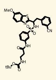 COc1ccc2nc(C(Cc3cccc(C#N)c3)NS(=O)(=O)c3cccc(NC(=O)CCNC(=O)OC(C)(C)C)c3)sc2c1